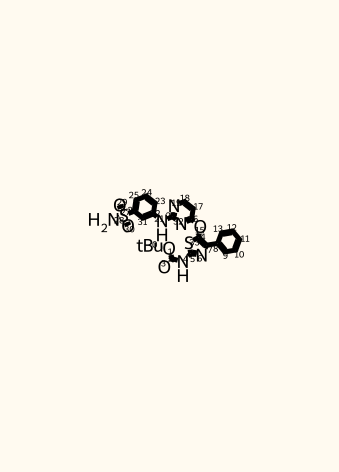 CC(C)(C)OC(=O)Nc1nc(-c2ccccc2)c(Oc2ccnc(Nc3cccc(S(N)(=O)=O)c3)n2)s1